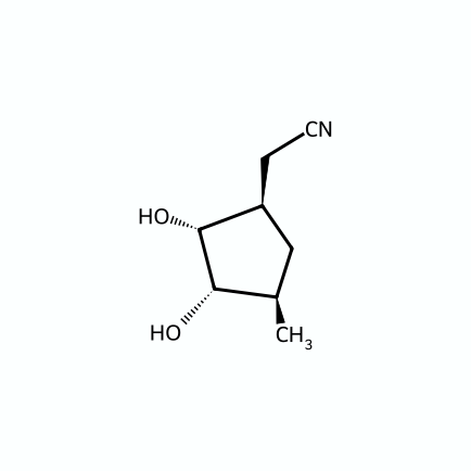 C[C@@H]1C[C@H](CC#N)[C@@H](O)[C@H]1O